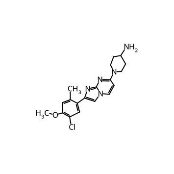 COc1cc(C)c(-c2cn3ccc(N4CCC(N)CC4)nc3n2)cc1Cl